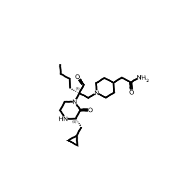 CCCC[C@](C=O)(CN1CCC(CC(N)=O)CC1)N1CCN[C@@H](CC2CC2)C1=O